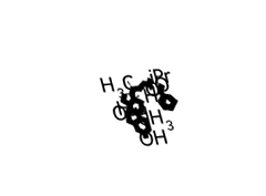 CC(C)C(CC[C@@H](C)[C@H]1CC[C@H]2[C@@H]3C(=O)CC4CC(O)CC[C@]4(C)[C@H]3CC[C@]12C)OC(=O)c1ccccc1